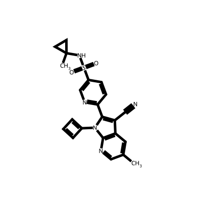 Cc1cnc2c(c1)c(C#N)c(-c1ccc(S(=O)(=O)NC3(C)CC3)cn1)n2C1=CC=C1